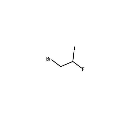 FC(I)CBr